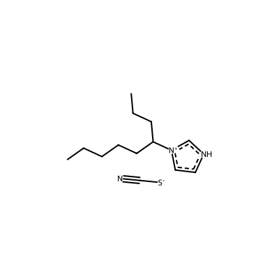 CCCCCC(CCC)[n+]1cc[nH]c1.N#C[S-]